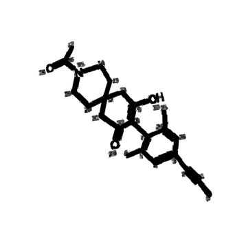 CC#Cc1cc(C)c(C2=C(O)CC3(CCN(C(C)=O)CC3)CC2=O)c(C)c1